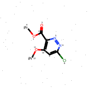 CC(C)OC(=O)c1nnc(Cl)cc1OC(C)C